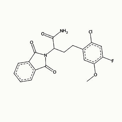 COc1cc(CCC(C(N)=O)N2C(=O)c3ccccc3C2=O)c(Cl)cc1F